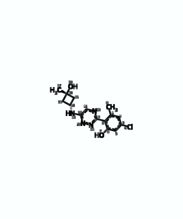 Cc1cc(Cl)cc(O)c1-c1ncc(N[C@H]2C[C@@](C)(O)C2)nn1